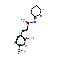 COc1ccc(/C=C/C(=O)NC2CCCCC2)c(O)c1